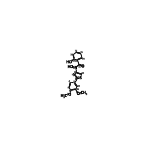 COc1ccc(-c2nc(N(O)C(=O)c3ccccc3O)cs2)cc1OC